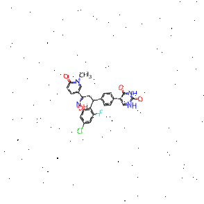 Cn1cc(/C(CC(c2ccc(-c3c[nH]c(=O)[nH]c3=O)cc2)c2ccc(Cl)cc2F)=N/O)ccc1=O